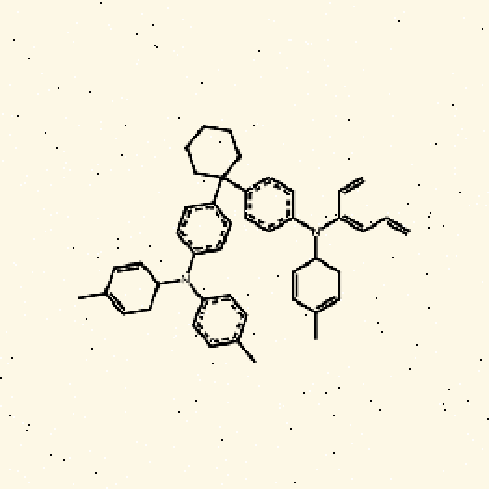 C=C/C=C(\C=C)N(c1ccc(C2(c3ccc(N(c4ccc(C)cc4)C4C=CC(C)=CC4)cc3)CCCCC2)cc1)C1C=CC(C)=CC1